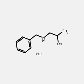 CC(O)CNCc1ccccc1.Cl